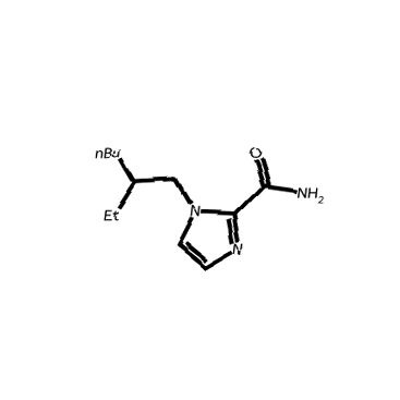 CCCCC(CC)Cn1ccnc1C(N)=O